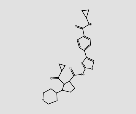 O=C(NC1CC1)c1ccc(-c2csc(NC(=O)C3CSC(C4CCOCC4)N3C(=O)C3CC3)n2)cc1